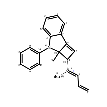 C=C/C=C(/[C@H]1C=C2c3ccccc3N(c3ccccc3)C21C)[C@@H](C)CC